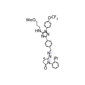 COCCCNc1nc(-c2ccc(/C=N/N=C3\SCC(=O)N3c3ccccc3C(C)C)cc2)nn1-c1ccc(OC(F)(F)F)cc1